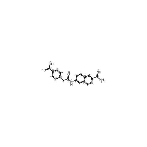 N=C(N)c1ccc2cc(NC(=O)Cc3ccc(C(=O)O)cc3)ccc2c1